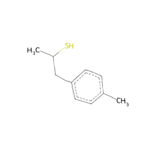 Cc1ccc(CC(C)S)cc1